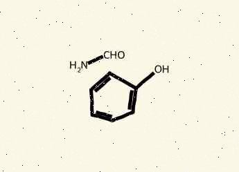 NC=O.Oc1ccccc1